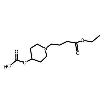 CCOC(=O)CCCN1CCC(OC(=O)O)CC1